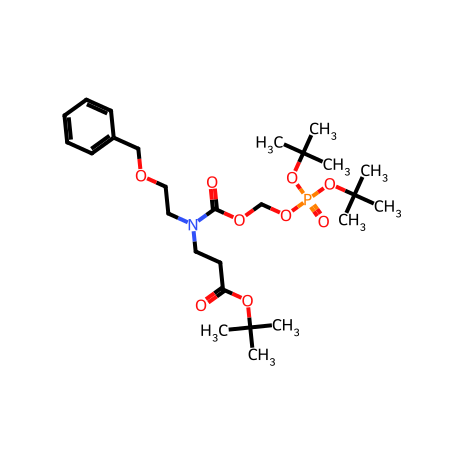 CC(C)(C)OC(=O)CCN(CCOCc1ccccc1)C(=O)OCOP(=O)(OC(C)(C)C)OC(C)(C)C